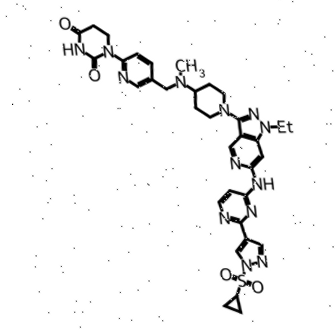 CCn1nc(N2CCC(N(C)Cc3ccc(N4CCC(=O)NC4=O)nc3)CC2)c2cnc(Nc3ccnc(-c4cnn(S(=O)(=O)C5CC5)c4)n3)cc21